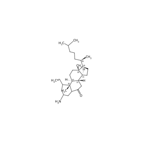 C=CC1CC(N)CC2C(=O)C[C@@H]3[C@H](CC[C@]4(C)[C@@H]([C@H](C)CCCC(C)C)CC[C@@H]34)[C@@]12C